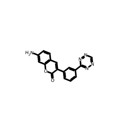 Nc1ccc2cc(-c3cccc(-c4nncnn4)c3)c(=O)oc2c1